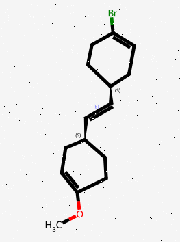 COC1=CC[C@@H](/C=C/[C@@H]2CC=C(Br)CC2)CC1